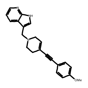 COc1ccc(C#CC2=CCN(Cc3c[nH]c4ncccc34)CC2)cc1